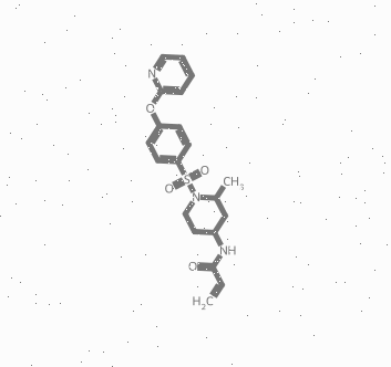 C=CC(=O)NC1CCN(S(=O)(=O)c2ccc(Oc3ccccn3)cc2)C(C)C1